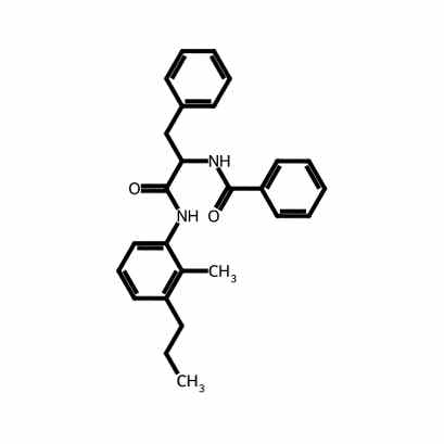 CCCc1cccc(NC(=O)C(Cc2ccccc2)NC(=O)c2ccccc2)c1C